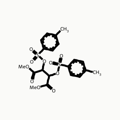 COC(=O)C(OS(=O)(=O)c1ccc(C)cc1)C(OS(=O)(=O)c1ccc(C)cc1)C(=O)OC